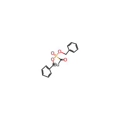 CC(C)(C)C(=O)P(=O)(OCc1ccccc1)OCc1ccccc1